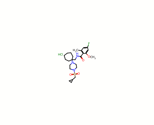 COc1cc(F)cc(C)c1C(=O)NCC1(N2CCN(S(=O)(=O)CC3CC3)CC2)CCCCCC1.Cl